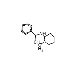 CC(NC1CCCCN1C)c1ccccc1